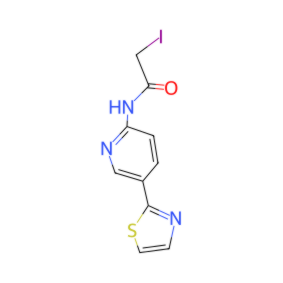 O=C(CI)Nc1ccc(-c2nccs2)cn1